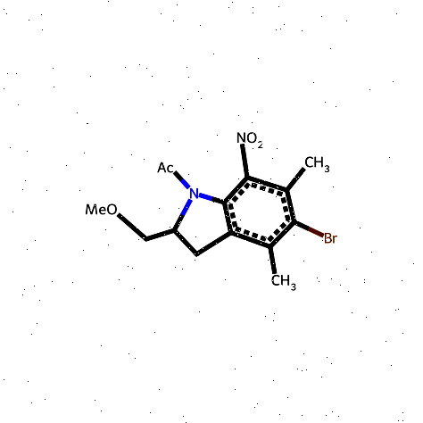 COCC1Cc2c(C)c(Br)c(C)c([N+](=O)[O-])c2N1C(C)=O